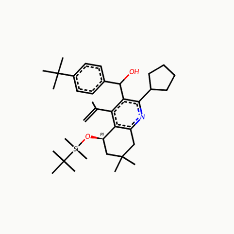 C=C(C)c1c(C(O)c2ccc(C(C)(C)C)cc2)c(C2CCCC2)nc2c1[C@H](O[Si](C)(C)C(C)(C)C)CC(C)(C)C2